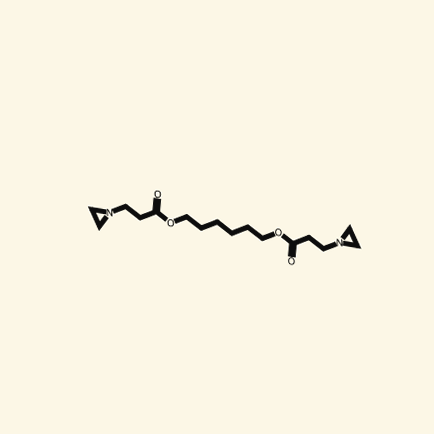 O=C(CCN1CC1)OCCCCCCOC(=O)CCN1CC1